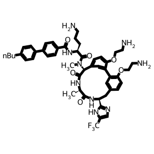 CCCCc1ccc(-c2ccc(C(=O)N[C@@H](CCCN)C(=O)N(C)[C@@H]3C(=O)N[C@@H](C)C(=O)N[C@H](c4ncc(C(F)(F)F)[nH]4)Cc4ccc(OCCN)c(c4)-c4cc3ccc4OCCN)cc2)cc1